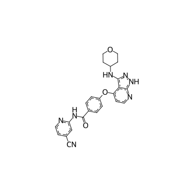 N#Cc1ccnc(NC(=O)c2ccc(Oc3ccnc4[nH]nc(NC5CCOCC5)c34)cc2)c1